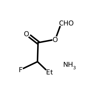 CCC(F)C(=O)OC=O.N